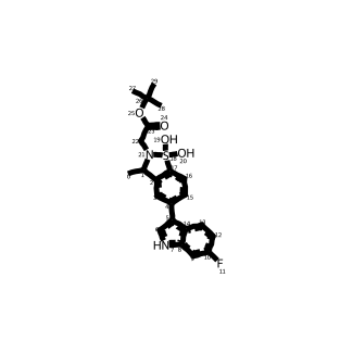 CC1c2cc(-c3c[nH]c4cc(F)ccc34)ccc2S(O)(O)N1CC(=O)OC(C)(C)C